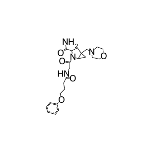 NC(=O)C1CC2(CN3CCOCC3)CC2N1C(=O)CNC(=O)CCCOc1ccccc1